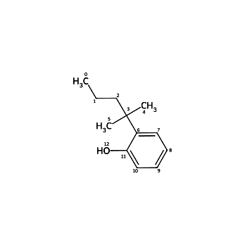 CCCC(C)(C)c1ccccc1O